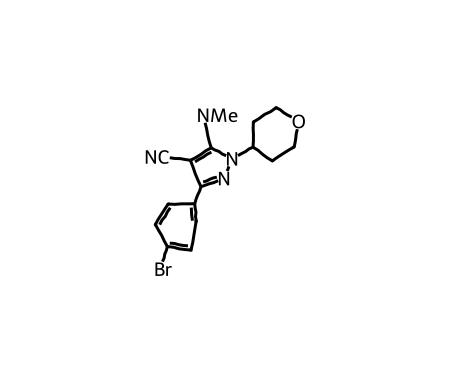 CNc1c(C#N)c(-c2ccc(Br)cc2)nn1C1CCOCC1